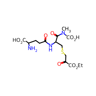 CCOC(=O)C(=O)CSCC(NC(=O)CCC(N)C(=O)O)C(=O)N(C)C(=O)O